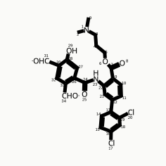 CN(C)CCCOC(=O)c1ccc(-c2ccc(Cl)cc2Cl)cc1NC(=O)c1cc(O)c([C]=O)cc1[C]=O